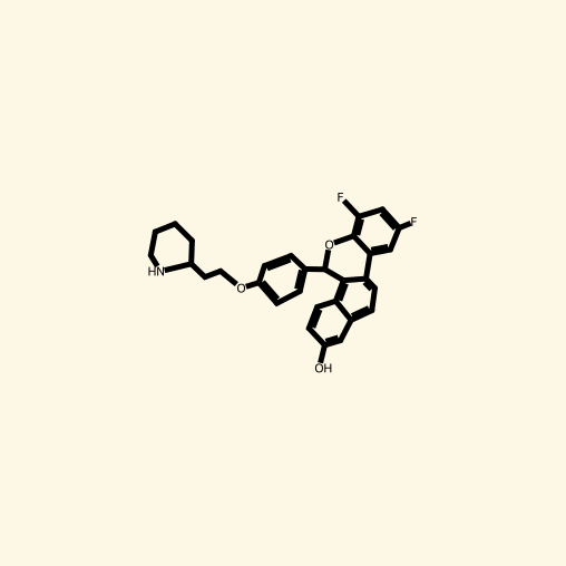 Oc1ccc2c3c(ccc2c1)-c1cc(F)cc(F)c1OC3c1ccc(OCCC2CCCCN2)cc1